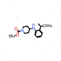 COC(C)c1ccccc1NC1CCN(C(=O)OC(C)(C)C)CC1